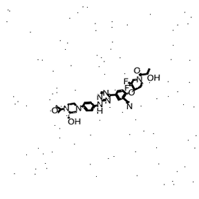 CC(O)C(=O)N1CC[C@H](Oc2ccc(-c3ncnc(Nc4ccc(N5CCN(C6COC6)[C@@H](CO)C5)cc4)n3)cc2C#N)C(F)(F)C1